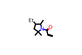 C=CC(=O)N1C(C)C(CC)CC1(C)C